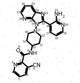 N#Cc1cccnc1C(=O)NC1CCN(n2c(-c3cccnc3N)nc3cccnc32)CC1